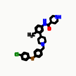 Cc1ccc(NC(=O)C2CCNCC2)cc1C1CCN(Cc2ccc(Sc3ccc(Cl)cc3)cc2)CC1